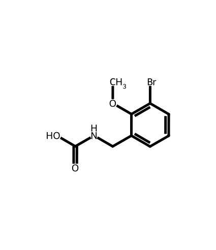 COc1c(Br)cccc1CNC(=O)O